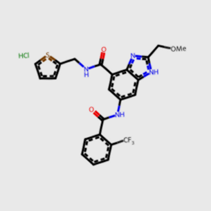 COCc1nc2c(C(=O)NCc3cccs3)cc(NC(=O)c3ccccc3C(F)(F)F)cc2[nH]1.Cl